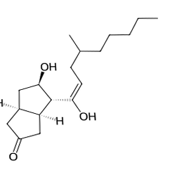 CCCCCC(C)C/C=C(/O)[C@@H]1[C@H]2CC(=O)C[C@H]2C[C@H]1O